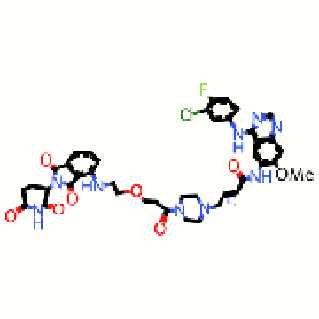 COc1cc2ncnc(Nc3ccc(F)c(Cl)c3)c2cc1NC(=O)/C=C/CN1CCN(C(=O)CCOCCNc2cccc3c2C(=O)N(C2CCC(=O)NC2=O)C3=O)CC1